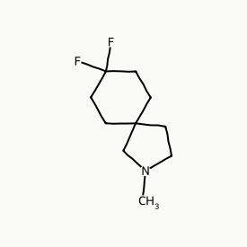 CN1CCC2(CCC(F)(F)CC2)C1